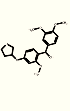 COc1ccc(C(O)c2ccc(OC3CCOC3)cc2OC)cc1OC